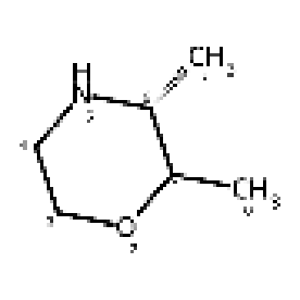 CC1OCCN[C@@H]1C